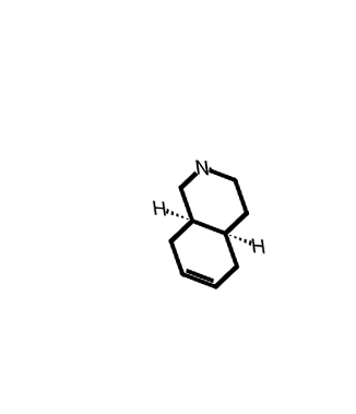 C1=CC[C@H]2C[N]CC[C@H]2C1